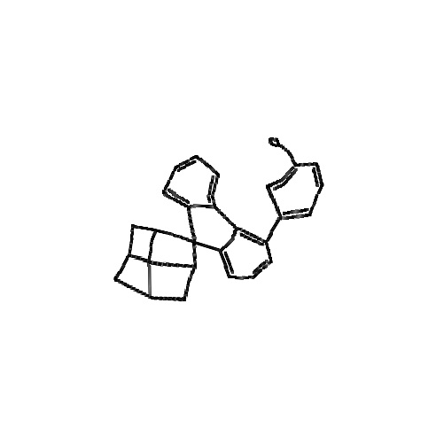 Clc1cccc(-c2cccc3c2-c2ccccc2C32C3CC4CC5CC2C453)c1